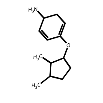 CC1CCC(OC2=CCC(N)C=C2)C1C